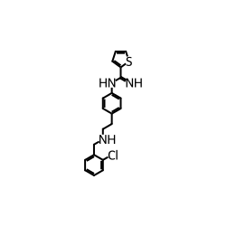 N=C(Nc1ccc(CCNCc2ccccc2Cl)cc1)c1cccs1